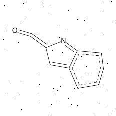 O=C=C1[C]=c2ccccc2=N1